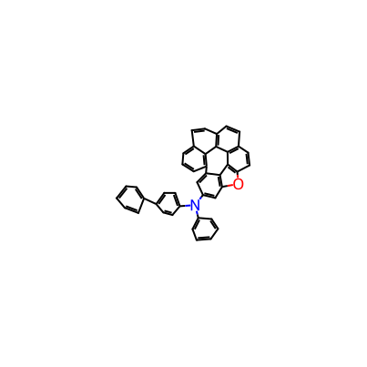 c1ccc(-c2ccc(N(c3ccccc3)c3cc4c5c(c3)oc3ccc6ccc7ccc8cccc-4c8c7c6c35)cc2)cc1